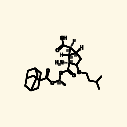 CC(C)CCOC1C[C@@H]2[C@@H]([C@@]2(F)C(=O)O)[C@]1(N)C(=O)O[C@@H](C)OC(=O)C12CC3CC(CC(C3)C1)C2